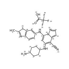 Cc1nc2ccc(Nc3cc(NC4CCC(N)CC4)c(C#N)c4ccnn34)cc2s1.O=C(O)C(F)(F)F